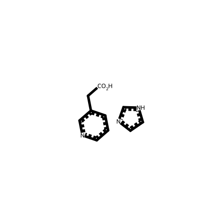 O=C(O)Cc1cccnc1.c1c[nH]cn1